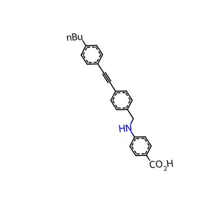 CCCCc1ccc(C#Cc2ccc(CNc3ccc(C(=O)O)cc3)cc2)cc1